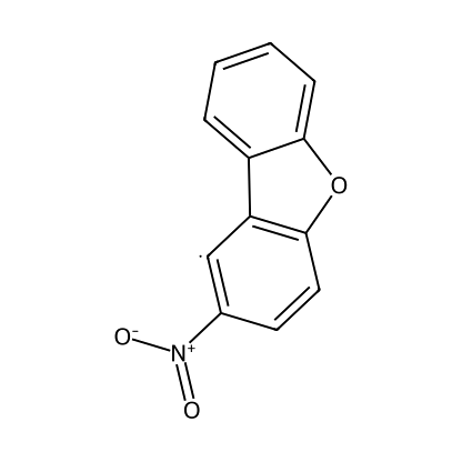 O=[N+]([O-])c1[c]c2c(cc1)oc1ccccc12